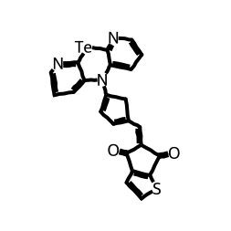 O=C1/C(=C\C2=CC=C(N3c4cccnc4[Te]c4ncccc43)C2)C(=O)c2sccc21